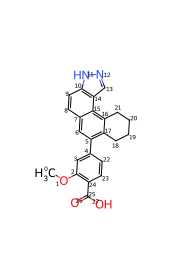 COc1cc(-c2cc3ccc4[nH]ncc4c3c3c2CCCC3)ccc1C(=O)O